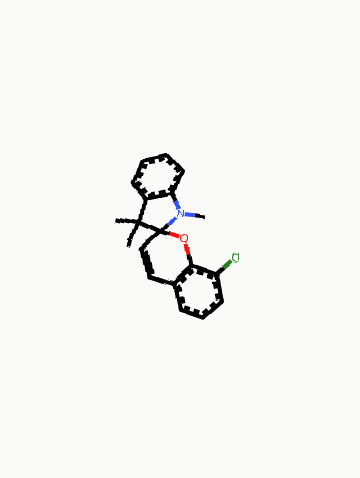 CN1c2ccccc2C(C)(C)C12C=Cc1cccc(Cl)c1O2